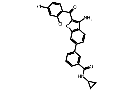 Nc1c(C(=O)c2ccc(Cl)cc2Cl)oc2cc(-c3cccc(C(=O)NC4CC4)c3)ccc12